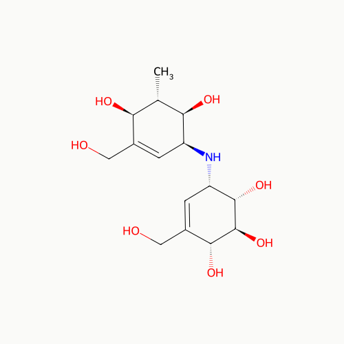 C[C@@H]1[C@@H](O)[C@@H](N[C@H]2C=C(CO)[C@@H](O)[C@H](O)[C@H]2O)C=C(CO)[C@H]1O